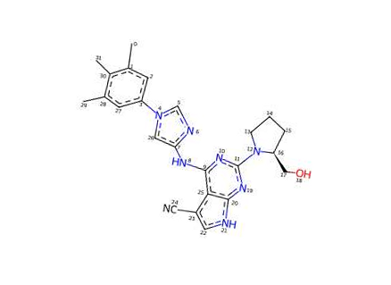 Cc1cc(-n2cnc(Nc3nc(N4CCC[C@H]4CO)nc4[nH]cc(C#N)c34)c2)cc(C)c1C